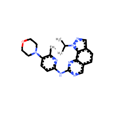 Cc1nc(Nc2ncc3ccc4cnn(C(C)C)c4c3n2)ccc1N1CCOCC1